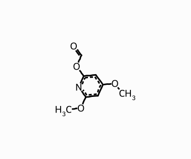 COc1cc(OC)nc(OC=O)c1